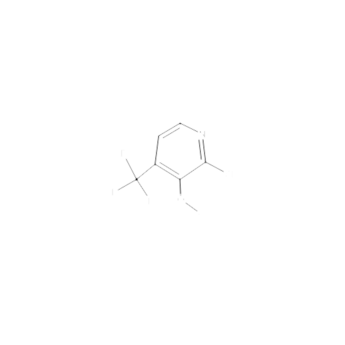 COc1c(C(F)(F)F)ccnc1Cl